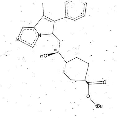 CC1=C(c2ccccc2)C(C[C@H](O)[C@H]2CC[C@H](C(=O)OC(C)(C)C)CC2)n2cncc21